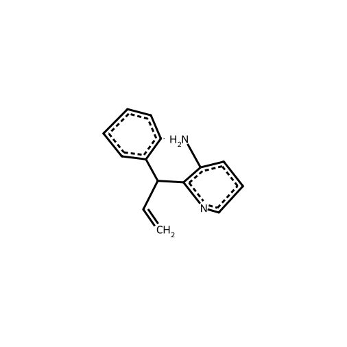 C=CC(c1[c]cccc1)c1ncccc1N